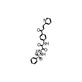 O=C(NNS(=O)(=O)c1ccccc1)C(=O)Nc1ccc(C(=O)C=Cc2ccccn2)cc1